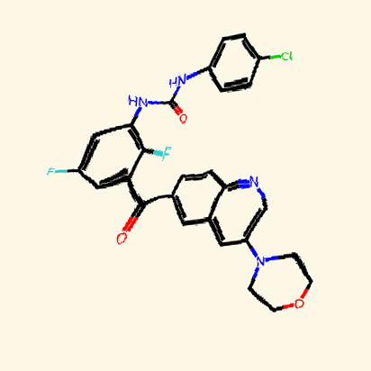 O=C(Nc1ccc(Cl)cc1)Nc1cc(F)cc(C(=O)c2ccc3ncc(N4CCOCC4)cc3c2)c1F